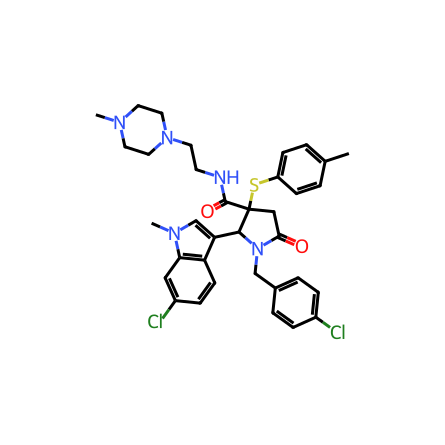 Cc1ccc(SC2(C(=O)NCCN3CCN(C)CC3)CC(=O)N(Cc3ccc(Cl)cc3)C2c2cn(C)c3cc(Cl)ccc23)cc1